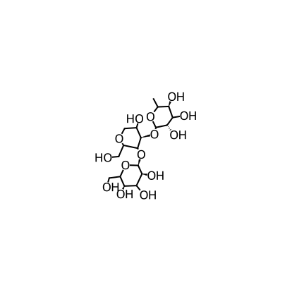 CC1O[C@@H](O[C@@H]2C(O)COC(CO)[C@H]2O[C@@H]2OC(CO)[C@H](O)C(O)[C@@H]2O)[C@@H](O)C(O)[C@@H]1O